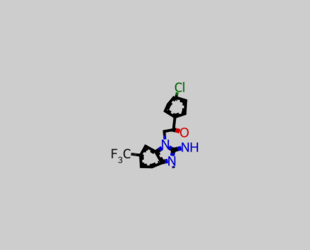 Cn1c(=N)n(CC(=O)c2ccc(Cl)cc2)c2cc(C(F)(F)F)ccc21